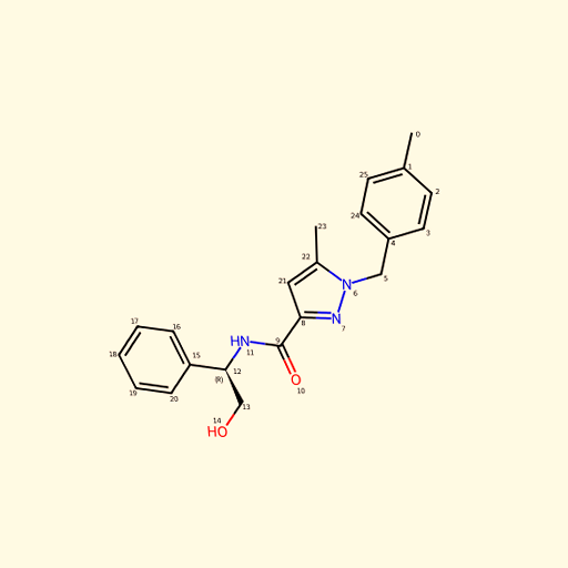 Cc1ccc(Cn2nc(C(=O)N[C@@H](CO)c3ccccc3)cc2C)cc1